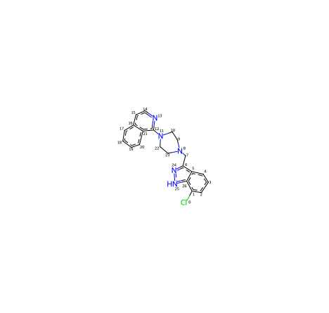 Clc1cccc2c(CN3CCN(c4nccc5ccccc45)CC3)n[nH]c12